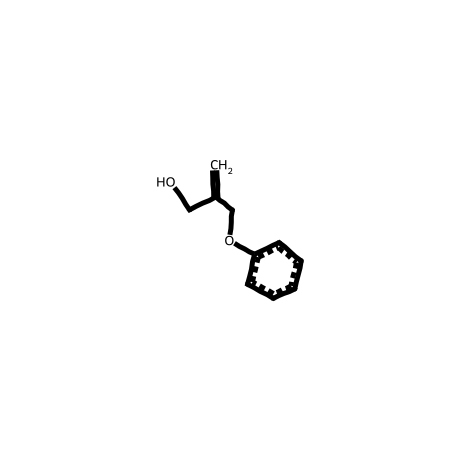 C=C(CO)COc1ccccc1